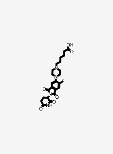 O=C(O)CCCCCN1CCN(c2cc3c(cc2F)C(=O)N(C2CCC(=O)NC2=O)C3=O)CC1